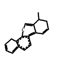 CC1CC=CC2=c3ccc4c(c3CC=C21)CC=CC=4